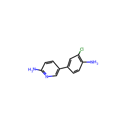 Nc1ccc(-c2ccc(N)c(Cl)c2)cn1